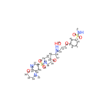 CNS(=O)(=O)c1cccc(OC[C@@H](O)CN[C@H]2COC3(CCN(S(=O)(=O)c4cnc5c(c4)N(C)CCCO5)CC3)C2)c1